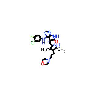 Cc1[nH]c(/C=C2\C(=O)Nc3ncnc(Nc4ccc(F)c(Cl)c4)c32)c(C)c1CCCN1CCOCC1